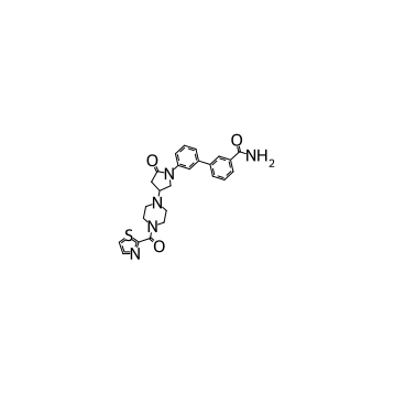 NC(=O)c1cccc(-c2cccc(N3CC(N4CCN(C(=O)c5nccs5)CC4)CC3=O)c2)c1